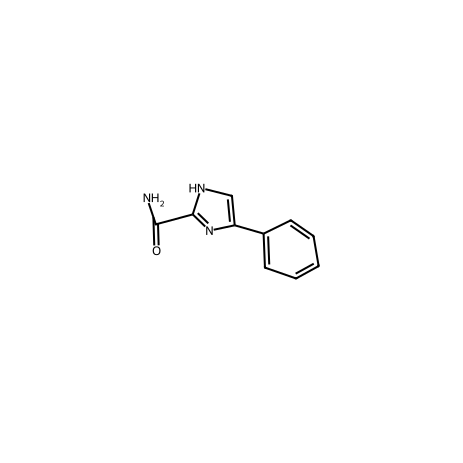 NC(=O)c1nc(-c2ccccc2)c[nH]1